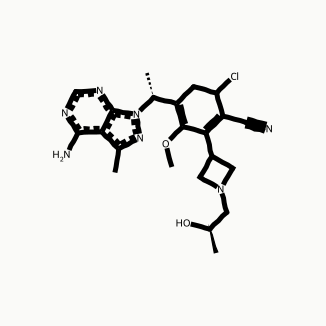 COC1=C([C@@H](C)n2nc(C)c3c(N)ncnc32)CC(Cl)C(C#N)=C1C1CN(C[C@@H](C)O)C1